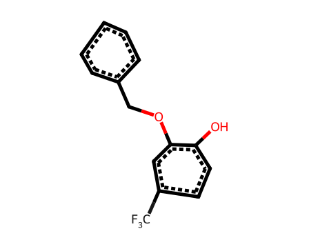 Oc1ccc(C(F)(F)F)cc1OCc1ccccc1